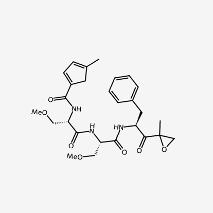 COC[C@H](NC(=O)C1=CC=C(C)C1)C(=O)N[C@@H](COC)C(=O)N[C@@H](Cc1ccccc1)C(=O)C1(C)CO1